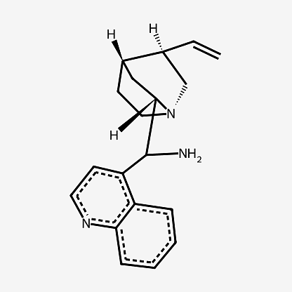 C=C[C@H]1C[N@]2CC[C@H]1C[C@H]2C(N)c1ccnc2ccccc12